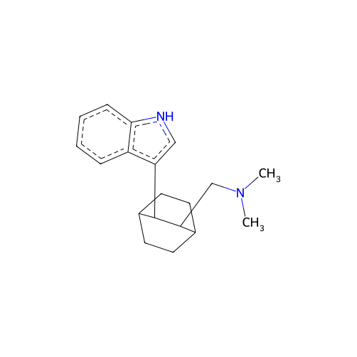 CN(C)CC1C2CCC(CC2)C1c1c[nH]c2ccccc12